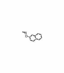 C=NOc1ccc2ccccc2c1